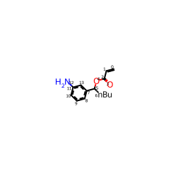 C=CC(=O)OC(CCCC)c1cccc(N)c1